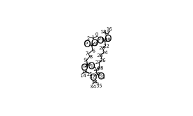 CC(C)OC(=O)CCCCC(=O)OC(C)C.CC(C)OC(=O)CCCCCCCCC(=O)OC(C)C